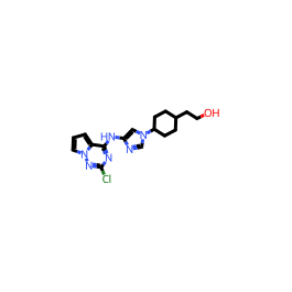 OCCC1CCC(n2cnc(Nc3nc(Cl)nn4cccc34)c2)CC1